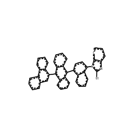 CCc1nc2ccccc2n1-c1ccc(-c2c3ccccc3c(-c3cc4ccccc4c4ccccc34)c3ccccc23)c2ccccc12